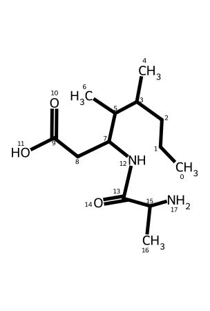 CCCC(C)C(C)C(CC(=O)O)NC(=O)C(C)N